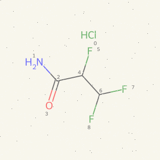 Cl.NC(=O)C(F)C(F)F